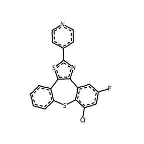 Fc1cc(Cl)c2c(c1)-c1nc(-c3ccncc3)sc1-c1ccccc1S2